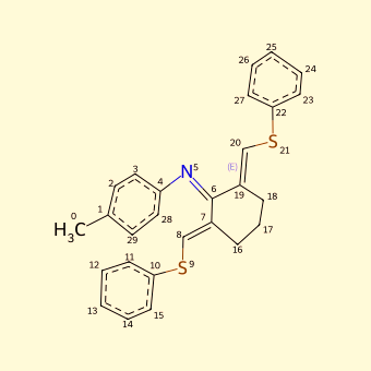 Cc1ccc(N=C2C(=CSc3ccccc3)CCC/C2=C\Sc2ccccc2)cc1